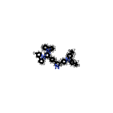 Cc1ccc2c(c1)c1ccccc1n2-c1cc(-c2ccc(-c3cncc(-c4ccc(-n5c6ccc(C(C)(C)C)cc6c6cc(C(C)(C)C)ccc65)cc4)c3)cc2)cc(N2c3ccccc3C3C=CC=CC32)c1